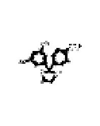 CC(C)(C)c1cc(C(C)(C)C)cc(C2(c3ccc(C(=O)O)cc3)OCCO2)c1